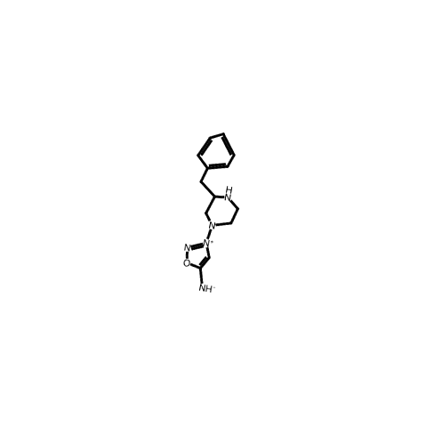 [NH-]c1c[n+](N2CCNC(Cc3ccccc3)C2)no1